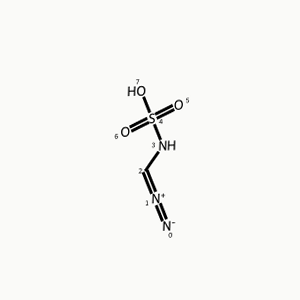 [N-]=[N+]=CNS(=O)(=O)O